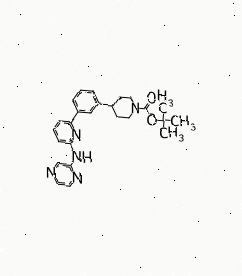 CC(C)(C)OC(=O)N1CCC(c2cccc(-c3cccc(Nc4cnccn4)n3)c2)CC1